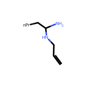 C=CCNC(N)CCCC